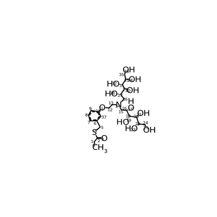 CCC(=O)SCc1cccc(OCCN(C[C@H](O)[C@@H](O)[C@H](O)[C@H](O)CO)C[C@H](O)[C@@H](O)[C@H](O)C(O)CO)c1